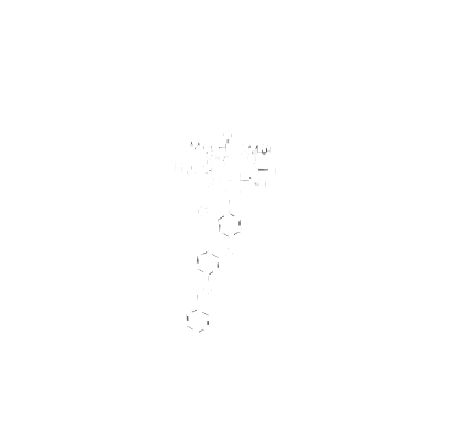 COP(=O)(OC)OCC(CCc1ccc(Sc2cccc(OCc3ccccc3)c2)cc1Cl)(CO[Si](C)(C)C(C)(C)C)NC(=O)OC(C)(C)C